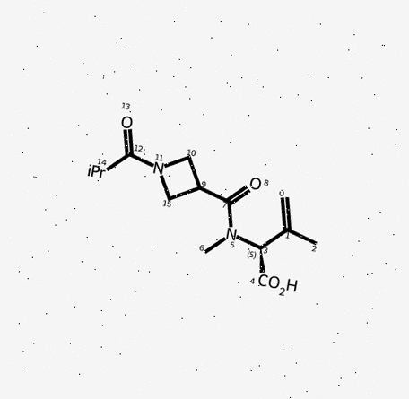 C=C(C)[C@@H](C(=O)O)N(C)C(=O)C1CN(C(=O)C(C)C)C1